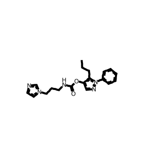 CCCc1c(OC(=O)NCCCn2ccnc2)cnn1-c1ccccc1